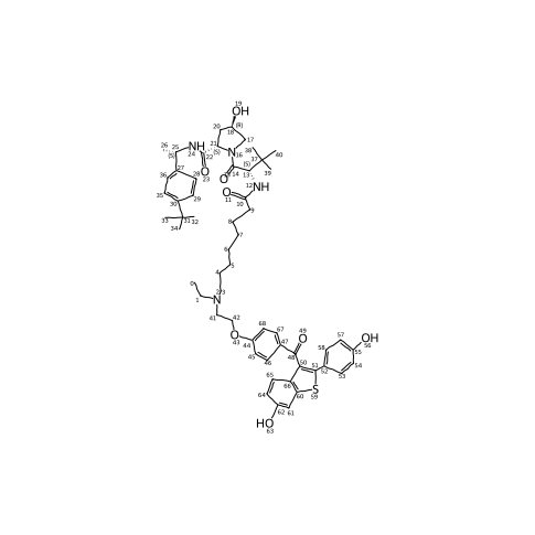 CCN(CCCCCCCC(=O)N[C@H](C(=O)N1C[C@H](O)C[C@H]1C(=O)N[C@@H](C)c1ccc(C(C)(C)C)cc1)C(C)(C)C)CCOc1ccc(C(=O)c2c(-c3ccc(O)cc3)sc3cc(O)ccc23)cc1